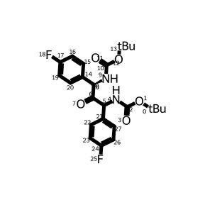 CC(C)(C)OC(=O)NC(C(=O)[C@H](NC(=O)OC(C)(C)C)c1ccc(F)cc1)c1ccc(F)cc1